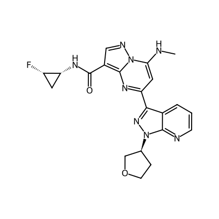 CNc1cc(-c2nn([C@H]3CCOC3)c3ncccc23)nc2c(C(=O)N[C@@H]3C[C@@H]3F)cnn12